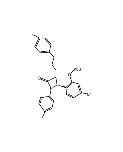 CCCCOc1cc(Br)ccc1[C@@H]1[C@@H](CCCc2ccc(F)cc2)C(=O)N1c1ccc(F)cc1